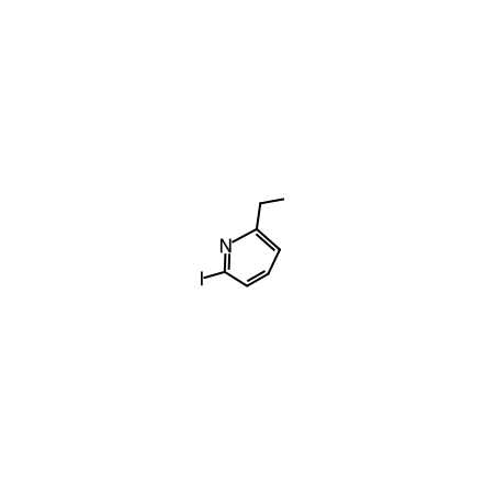 CCc1cccc(I)n1